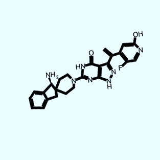 C=C(c1cc(O)ncc1F)c1n[nH]c2nc(N3CCC4(CC3)Cc3ccccc3[C@H]4N)[nH]c(=O)c12